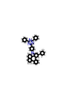 c1ccc(-c2cc3c4c5c6c(cccc6ccc5n(-c5ccc(-c6nc(-c7ccccc7)nc(-c7ccccc7)n6)cc5)c4c2)-c2ccccc2-3)cc1